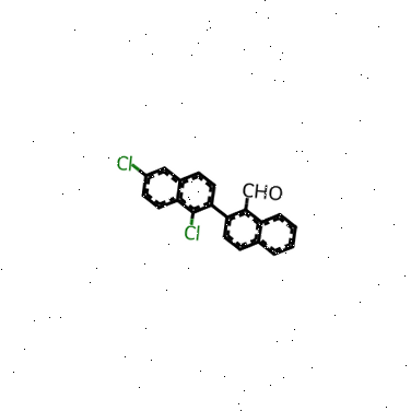 O=Cc1c(-c2ccc3cc(Cl)ccc3c2Cl)ccc2ccccc12